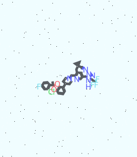 CC1(c2ccc(F)cc2Cl)Oc2cccc(C3CCN(Cc4ncc(-c5nnc(C(F)(F)F)[nH]5)cc4CC4(C#N)CC4)CC3)c2O1